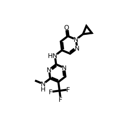 CNc1nc(Nc2cnn(C3CC3)c(=O)c2)ncc1C(F)(F)F